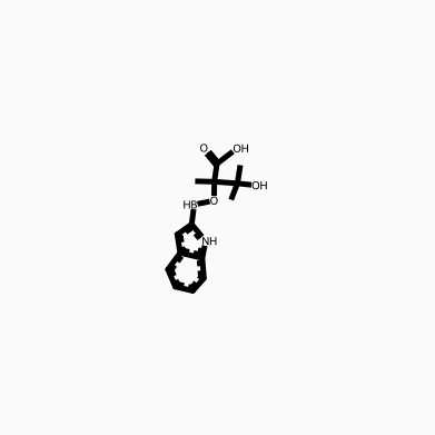 CC(C)(O)C(C)(OBc1cc2ccccc2[nH]1)C(=O)O